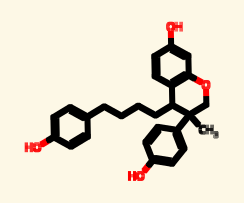 CC1(c2ccc(O)cc2)COc2cc(O)ccc2C1CCCCc1ccc(O)cc1